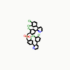 O=S(=O)(Cc1ccc(-c2ncccc2-c2ccc(Cl)c(Cl)c2)cc1F)Cc1ccc(-c2ncccc2-c2ccc(Cl)c(Cl)c2)cc1F